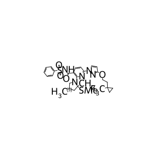 CSC1(C)C[C@H](C)CN1c1nc(-n2ccc(OCCC3(C(F)(F)F)CC3)n2)ccc1C(=O)NS(=O)(=O)c1ccccc1